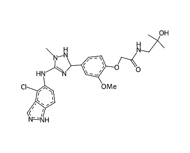 COc1cc(C2N=C(Nc3ccc4[nH]ncc4c3Cl)N(C)N2)ccc1OCC(=O)NCC(C)(C)O